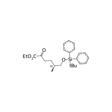 CCOC(=O)C(=O)CC[C@H](C)CO[Si](c1ccccc1)(c1ccccc1)C(C)(C)C